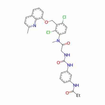 CCC(=O)Nc1cccc(NC(=O)NCC(=O)N(C)c2ccc(Cl)c(COc3cccc4ccc(C)nc34)c2Cl)c1